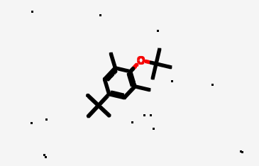 Cc1cc(C(C)(C)C)cc(C)c1OC(C)(C)C